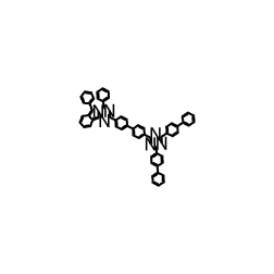 c1ccc(-c2ccc(-c3nc(-c4ccc(-c5ccccc5)cc4)nc(-c4ccc(-c5ccc(-c6nc(-c7ccccc7)n7c(-c8ccccc8)c8ccccc8c7n6)cc5)cc4)n3)cc2)cc1